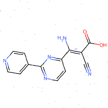 N#C/C(C(=O)O)=C(/N)c1ccnc(-c2ccncc2)n1